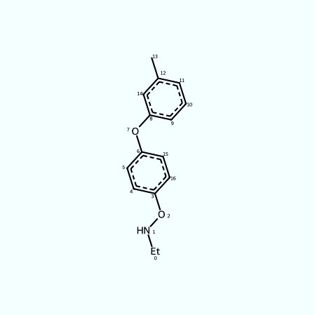 CCNOc1ccc(Oc2cccc(C)c2)cc1